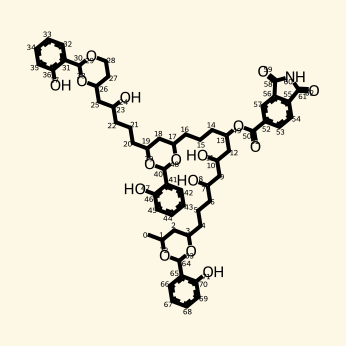 CC1CC(CCCC(O)CC(O)CC(CCCC2CC(CCCC(O)CC3CCOC(c4ccccc4O)O3)OC(c3ccccc3O)O2)OC(=O)c2ccc3c(c2)C(=O)NC3=O)OC(c2ccccc2O)O1